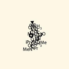 CC[C@H](C)[C@@H]([C@@H](CC(=O)N1CC(=O)C[C@H]1[C@H](OC)[C@@H](C)C(=O)N[C@@H](Cc1ccccc1)C(=O)NS(=O)(=O)C1CC1)OC)N(C)C(=O)[C@@H](NC(=O)[C@@H](NC)C(C)C)C(C)C